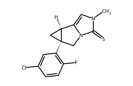 Cn1cc2n(c1=S)C[C@@]1(c3cc(Cl)ccc3F)C[C@@H]21